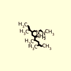 C=C(CC(CNCNC)/C(C)=C/C)C(C)C/C(C)=C\C